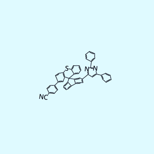 N#Cc1ccc(-c2ccc3c(c2)C2(c4ccccc4S3)c3ccccc3-c3ccc(-c4cc(-c5ccccc5)nc(-c5ccccc5)n4)cc32)cc1